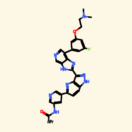 CCCC(=O)Nc1cncc(-c2ccc3[nH]nc(-c4nc5c(-c6cc(F)cc(OCCN(C)C)c6)cncc5[nH]4)c3n2)c1